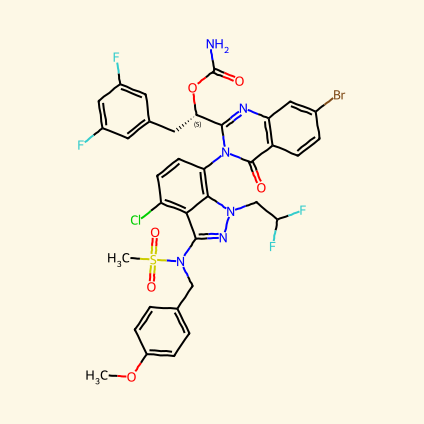 COc1ccc(CN(c2nn(CC(F)F)c3c(-n4c([C@H](Cc5cc(F)cc(F)c5)OC(N)=O)nc5cc(Br)ccc5c4=O)ccc(Cl)c23)S(C)(=O)=O)cc1